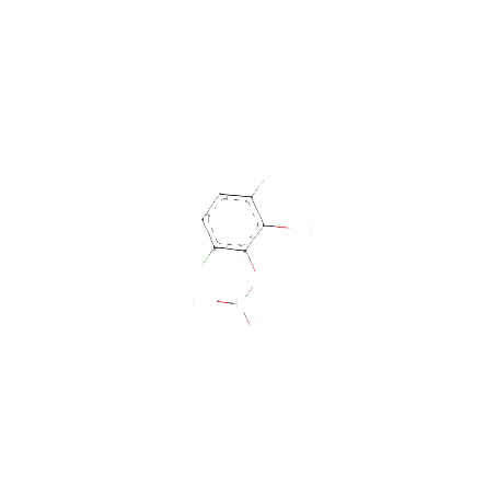 OB(O)Oc1c(F)ccc(Cl)c1O